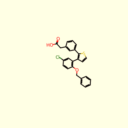 O=C(O)Cc1cccc(-c2sccc2-c2cc(Cl)ccc2OCc2ccccc2)c1